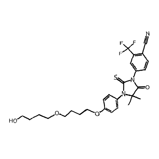 CC1(C)C(=O)N(c2ccc(C#N)c(C(F)(F)F)c2)C(=S)N1c1ccc(OCCCCOCCCCO)cc1